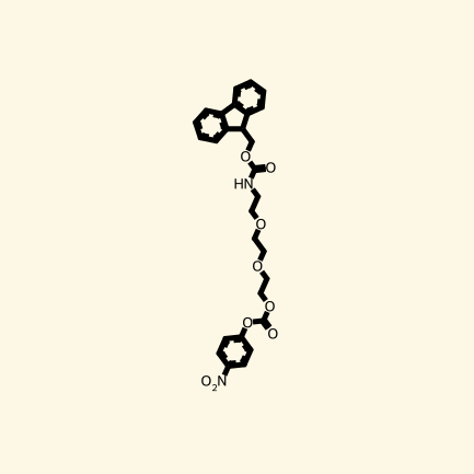 O=C(NCCOCCOCCOC(=O)Oc1ccc([N+](=O)[O-])cc1)OCC1c2ccccc2-c2ccccc21